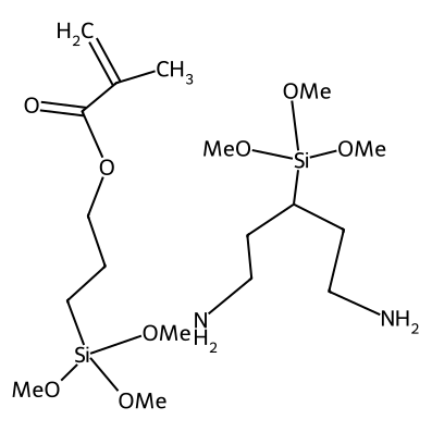 C=C(C)C(=O)OCCC[Si](OC)(OC)OC.CO[Si](OC)(OC)C(CCN)CCN